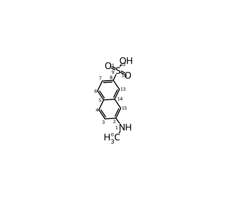 CNc1ccc2ccc(S(=O)(=O)O)cc2c1